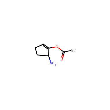 CCC(=O)OC1=CCCC1N